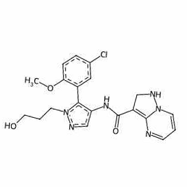 COc1ccc(Cl)cc1-c1c(NC(=O)C2=C3N=CC=CN3NC2)cnn1CCCO